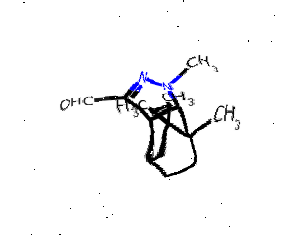 Cn1nc(C=O)c2c1C1(C)CCC2C1(C)C